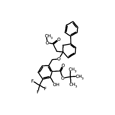 COC(=O)CC1(OCc2ccc(C(F)(F)F)c(O)c2C(=O)OC(C)(C)C)C=CC=C(c2ccccc2)C1